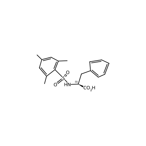 Cc1cc(C)c(S(=O)(=O)N[C@@H](Cc2ccccc2)C(=O)O)c(C)c1